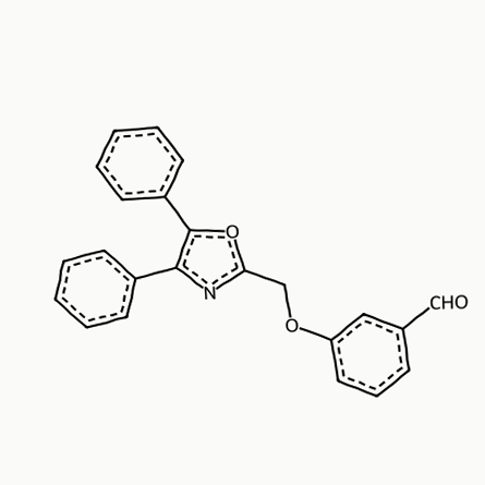 O=Cc1cccc(OCc2nc(-c3ccccc3)c(-c3ccccc3)o2)c1